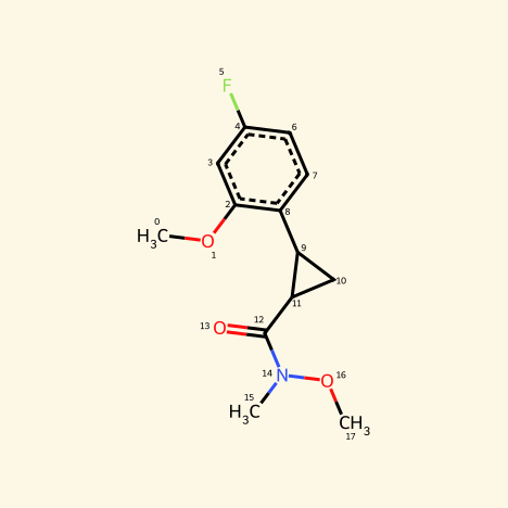 COc1cc(F)ccc1C1CC1C(=O)N(C)OC